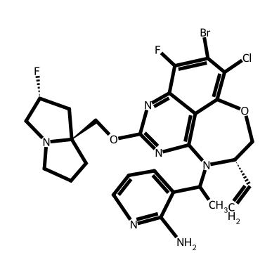 C=C[C@H]1COc2c(Cl)c(Br)c(F)c3nc(OC[C@@]45CCCN4C[C@H](F)C5)nc(c23)N1C(C)c1cccnc1N